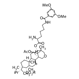 COc1cc(OC)cc(C(=O)NCCCCC(N)C(=O)O[C@H]2[C@H](OC(C)=O)C[C@@]34COC[C@]2(C)[C@@H]3CC[C@H]2C4=CC[C@@]3(C)[C@H](C(=O)O)[C@@](C)([C@H](C)C(C)C)CC[C@]23C)c1